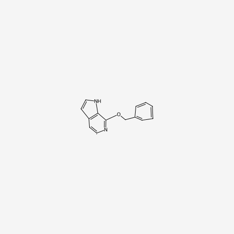 [c]1cc2cc[nH]c2c(OCc2ccccc2)n1